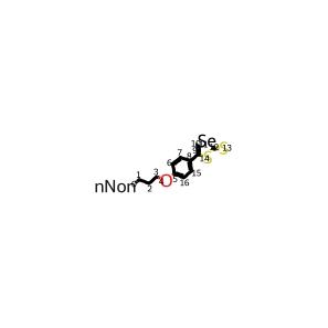 CCCCCCCCCCCCOc1ccc(-c2c[se]c(=S)s2)cc1